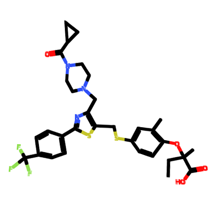 CCC(C)(Oc1ccc(SCc2sc(-c3ccc(C(F)(F)F)cc3)nc2CN2CCN(C(=O)C3CC3)CC2)cc1C)C(=O)O